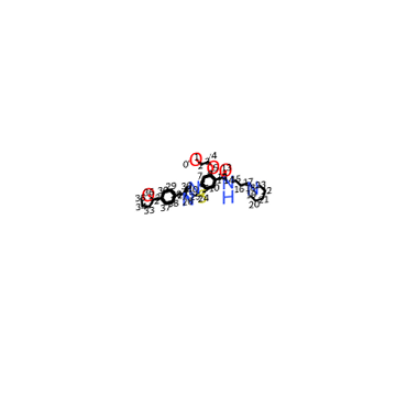 COC[C@H](C)Oc1cc2c(cc1C(=O)NCCCN1CCCCC1)sc1nc(-c3ccc(C4CCCO4)cc3)cn12